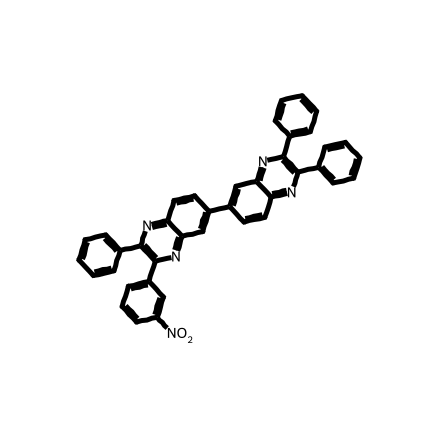 O=[N+]([O-])c1cccc(-c2nc3cc(-c4ccc5nc(-c6ccccc6)c(-c6ccccc6)nc5c4)ccc3nc2-c2ccccc2)c1